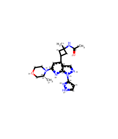 CC(=O)NC1(C)CC(c2cc(N3CCOC[C@H]3C)nc3c2cnn3-c2cc[nH]n2)C1